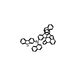 c1ccc2c(c1)-c1ccc(N(c3ccc4c(c3)sc3ccccc34)c3cccc4ccccc34)cc1C21c2ccccc2-c2cccc3ccc(-c4cccc5ccccc45)c1c23